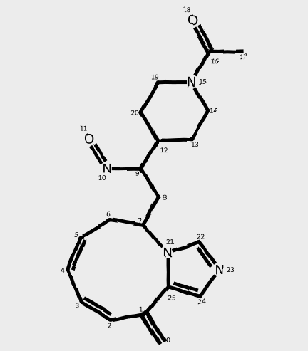 C=C1/C=C\C=C/CC(CC(N=O)C2CCN(C(C)=O)CC2)n2cncc21